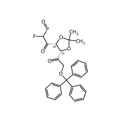 CC1(C)O[C@H](C(=O)COC(c2ccccc2)(c2ccccc2)c2ccccc2)[C@H](C(=O)C(F)P=O)O1